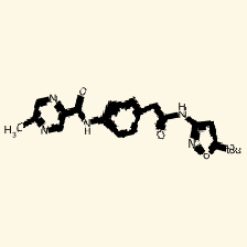 Cc1cnc(C(=O)Nc2ccc(CC(=O)Nc3cc(C(C)(C)C)on3)cc2)cn1